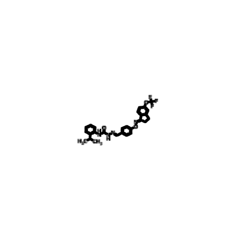 CC(C)c1ccccc1NC(=O)NN=Cc1ccc(ON=C2CCc3cc(OC(F)(F)F)ccc32)cc1